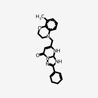 Cc1cccc2c1OCCN2CC1=CC(=O)N2N=C(C3=CCCC=C3)NC2N1